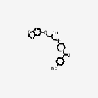 N#Cc1ccc(C(=O)N2CCC(NCC(O)COc3ccc4c(c3)OCO4)CC2)cc1